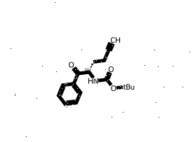 C#CCC[C@H](NC(=O)OC(C)(C)C)C(=O)c1ccccc1